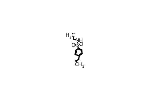 CCCc1ccc(S(=O)(=O)NCC)cc1